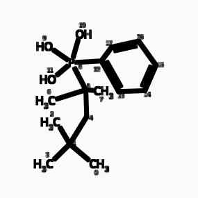 CC(C)(C)CC(C)(C)P(O)(O)(O)c1ccccc1